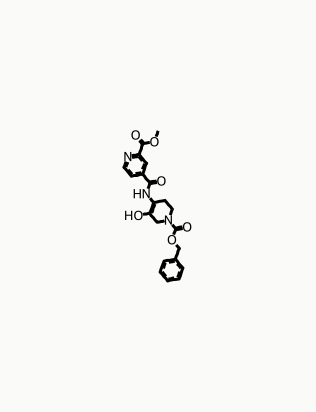 COC(=O)c1cc(C(=O)NC2=C(O)CN(C(=O)OCc3ccccc3)CC2)ccn1